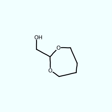 OCC1OCCCCO1